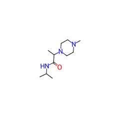 CC(C)NC(=O)C(C)N1CCN(C)CC1